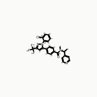 CC(c1ccncc1)N(C)C(=O)c1ccc(-c2cc(C(F)(F)F)nn2-c2ccccc2Cl)cc1